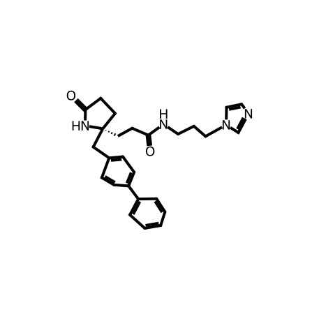 O=C(CC[C@@]1(Cc2ccc(-c3ccccc3)cc2)CCC(=O)N1)NCCCn1ccnc1